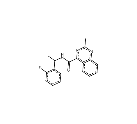 Cc1nc(C(=O)NC(C)c2ccccc2F)c2ccccc2n1